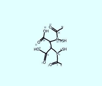 CC(=O)N(S)C(C(=O)O)C(C(=O)O)N(S)C(C)=O